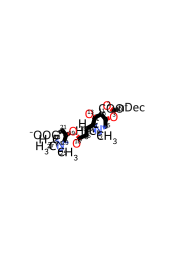 CCCCCCCCCCC(=O)OC(C[N+](C)(C)C)C(C(=O)[O-])C(=O)CCCC(=O)OC(CC(=O)[O-])C[N+](C)(C)C